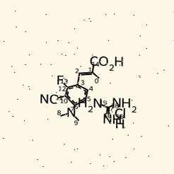 CC(=Cc1ccc(N(C)C)c(C#N)c1F)C(=O)O.Cl.N=C(N)N